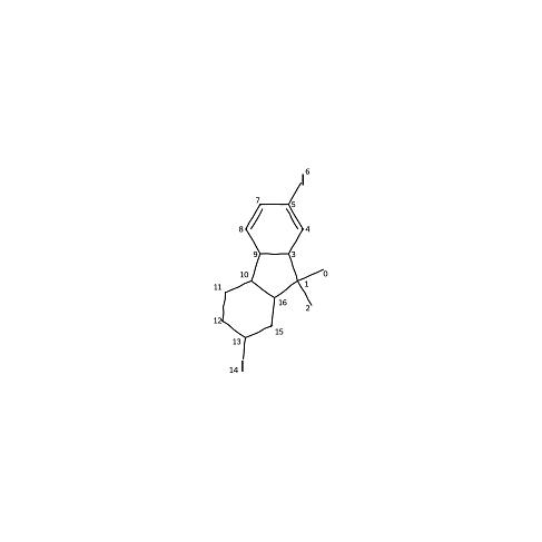 CC1(C)C2C=C(I)C=CC2C2CCC(I)CC21